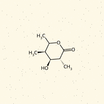 CC1OC(=O)[C@H](C)[C@@H](O)[C@H]1C